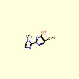 COc1cnc(-c2nccn2C)nc1O